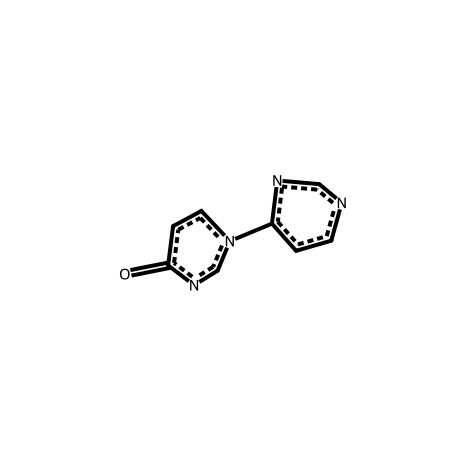 O=c1ccn(-c2ccncn2)cn1